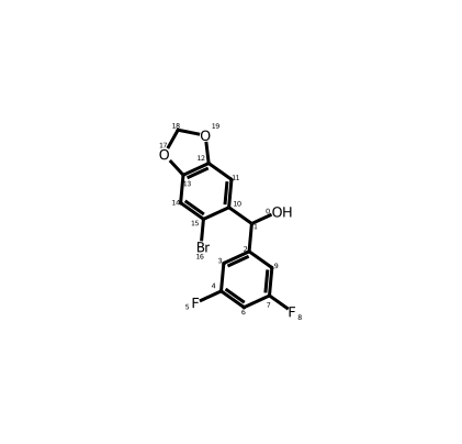 OC(c1cc(F)cc(F)c1)c1cc2c(cc1Br)OCO2